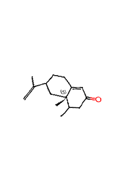 C=C(C)C1CCC2=CC(=O)CC(C)[C@]2(C)C1